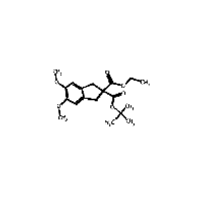 CCOC(=O)C1(C(=O)OC(C)(C)C)Cc2cc(OC)c(OC)cc2C1